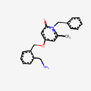 Cc1cc(OCc2ccccc2CN)cc(=O)n1Cc1ccccc1